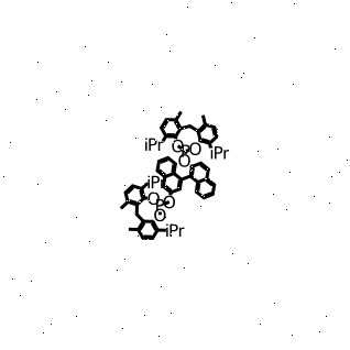 Cc1ccc(C(C)C)c2c1Cc1c(C)ccc(C(C)C)c1OP(Oc1cc(-c3c(OP4Oc5c(C(C)C)ccc(C)c5Cc5c(C)ccc(C(C)C)c5O4)ccc4ccccc34)c3ccccc3c1)O2